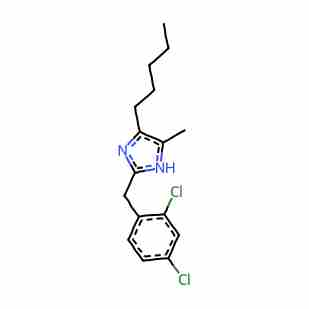 CCCCCc1nc(Cc2ccc(Cl)cc2Cl)[nH]c1C